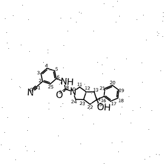 N#Cc1cccc(NC(=O)N2CC3CC(O)(c4ccccc4)CC3C2)c1